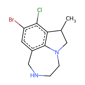 CC1CN2CCNCc3cc(Br)c(Cl)c1c32